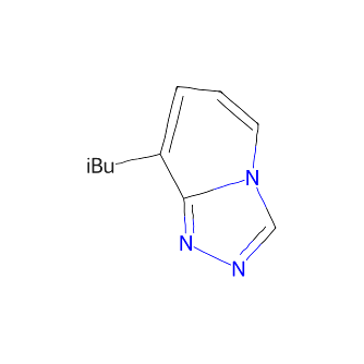 CCC(C)c1cccn2cnnc12